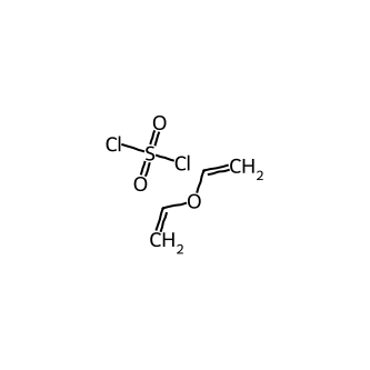 C=COC=C.O=S(=O)(Cl)Cl